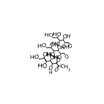 CC(=O)C(=O)C(O)C(O)C(O)C(O)CO.O=CC(O)C(O)C(O)C(O)CO.O=CC(O)C(O)C(O)C(O)CO